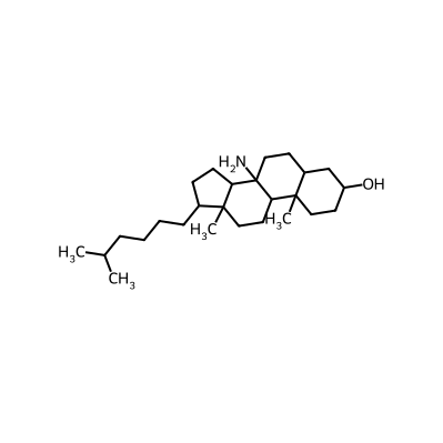 CC(C)CCCCC1CCC2C1(C)CCC1C3(C)CCC(O)CC3CCC21N